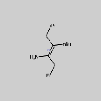 CCCC/C(CC(C)C)=C(/N)CC(C)C